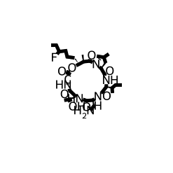 CCC(F)CCC[C@H]1OC(=O)CNC(=O)[C@H](C(C)O)NC(=O)[C@H](CN)NC(=O)[C@H](C(C)CC)NC(=O)[C@H](CC(C)C)N(C)C(=O)[C@@H]1C